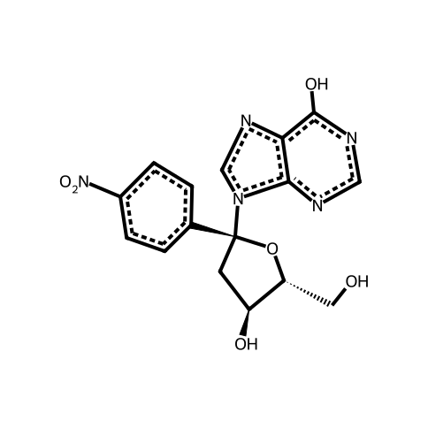 O=[N+]([O-])c1ccc([C@]2(n3cnc4c(O)ncnc43)C[C@H](O)[C@@H](CO)O2)cc1